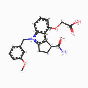 COc1cccc(Cn2c3c(c4c(OCC(=O)O)cccc42)C(C(N)=O)CC3)c1